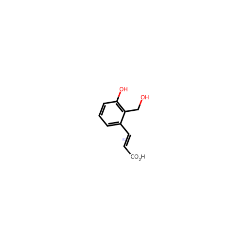 O=C(O)/C=C/c1cccc(O)c1CO